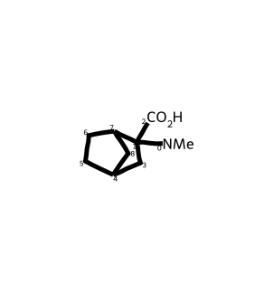 CNC1(C(=O)O)CC2CCC1C2